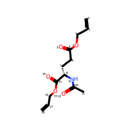 C=CCOC(=O)CC[C@H](NC(C)=O)C(=O)OCC=C